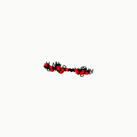 Nc1ncnc2c1c(-c1ccc(Oc3ccccc3)cc1)nn2C1CCCN(C(=O)CCCCCCCNc2ccc3c(c2)C(=O)N(C2CCC(=O)NC2=O)C3=O)C1